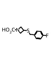 O=C(O)N1CC(SCc2ccc(F)cc2)C1